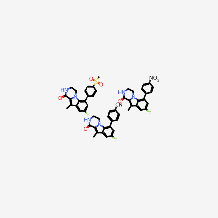 Cc1c2n(c3c(-c4ccc(C#N)cc4)cc(F)cc13)CCNC2=O.Cc1c2n(c3c(-c4ccc(S(C)(=O)=O)cc4)cc(F)cc13)CCNC2=O.Cc1c2n(c3c(-c4ccc([N+](=O)[O-])cc4)cc(F)cc13)CCNC2=O